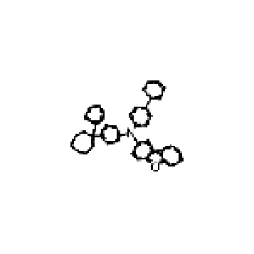 c1ccc(-c2ccc(N(c3ccc(C4(c5ccccc5)CCCCCC4)cc3)c3ccc4oc5ccccc5c4c3)cc2)cc1